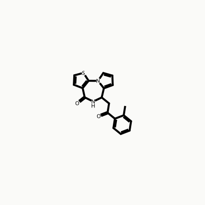 Cc1ccccc1C(=O)CC1NC(=O)c2ccsc2-n2cccc21